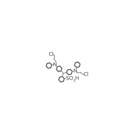 O=S(=O)(O)c1ccccc1C(c1ccc(N(CCCCl)c2ccccc2)cc1)c1ccc(N(CCCCl)c2ccccc2)cc1